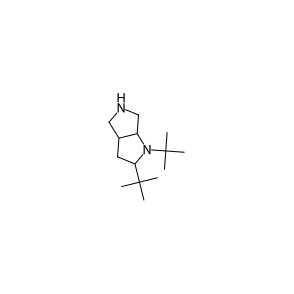 CC(C)(C)C1CC2CNCC2N1C(C)(C)C